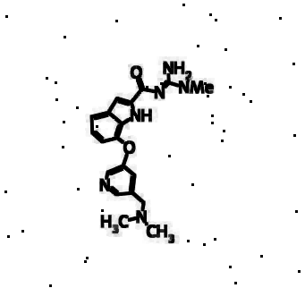 CNC(N)=NC(=O)c1cc2cccc(Oc3cncc(CN(C)C)c3)c2[nH]1